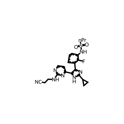 CCCS(=O)(=O)Nc1cccc(-c2nc(C3CC3)[nH]c2-c2ccnc(NCCC#N)n2)c1F